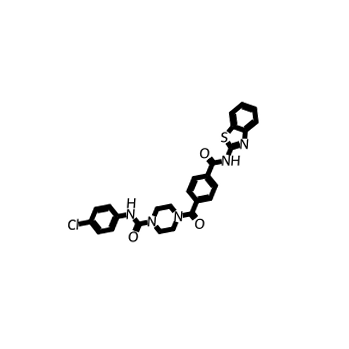 O=C(Nc1nc2ccccc2s1)c1ccc(C(=O)N2CCN(C(=O)Nc3ccc(Cl)cc3)CC2)cc1